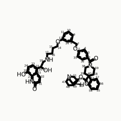 O=C(c1ccc(OCc2cccc(OCCCCNCC(O)c3ccc(O)c4[nH]c(=O)ccc34)c2)cc1)N1CCC(C(=O)O[C@H]2CN3CCC2CC3)(c2ccccc2)CC1